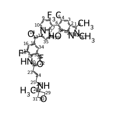 Cc1c2cc(C(F)(F)F)c(-c3cccn4c(C(=O)c5cc(F)c(NC(=O)/C=C/CNC6(C)COC6)c(F)c5)ccc34)c(O)c2nn1C